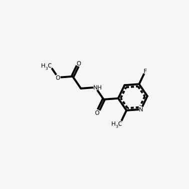 COC(=O)CNC(=O)c1cc(F)cnc1C